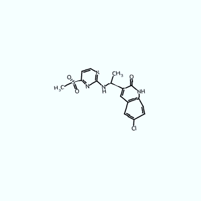 CC(Nc1nccc(S(C)(=O)=O)n1)c1cc2cc(Cl)ccc2[nH]c1=O